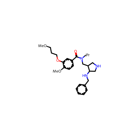 COCCCOc1cc(C(=O)N(CC2CNCC2NCc2ccccc2)C(C)C)ccc1OC